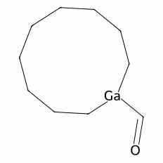 O=[CH][Ga]1[CH2]CCCCCCC[CH2]1